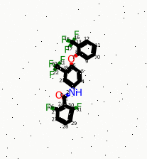 O=C(Nc1ccc(Oc2ccccc2C(F)(F)F)c(C(F)(F)F)c1)c1c(F)cccc1F